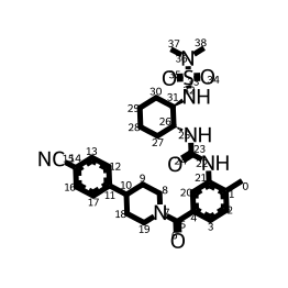 Cc1ccc(C(=O)N2CCC(c3ccc(C#N)cc3)CC2)cc1NC(=O)N[C@@H]1CCCC[C@H]1NS(=O)(=O)N(C)C